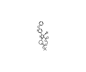 CCOC(=O)c1c(C#N)c(-c2ccc(Oc3ccccc3)nc2)nn1C1CCCN(C(=O)OC(C)(C)C)C1